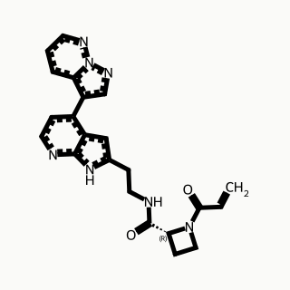 C=CC(=O)N1CC[C@@H]1C(=O)NCCc1cc2c(-c3cnn4ncccc34)ccnc2[nH]1